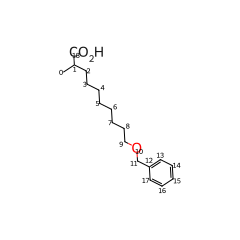 CC(CCCCCCCCOCc1ccccc1)C(=O)O